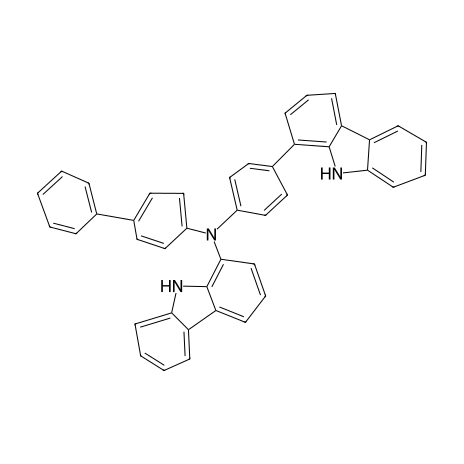 c1ccc(-c2ccc(N(c3ccc(-c4cccc5c4[nH]c4ccccc45)cc3)c3cccc4c3[nH]c3ccccc34)cc2)cc1